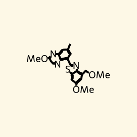 COCc1cc(OC)cc2sc(-c3cc(C)cc4nc(OC)cnc34)nc12